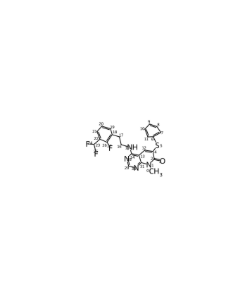 Cn1c(=O)c(Sc2ccccc2)cc2c(NCCc3cccc(C(F)F)c3F)ncnc21